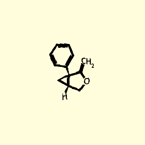 C=C1OC[C@@H]2C[C@]12c1ccccc1